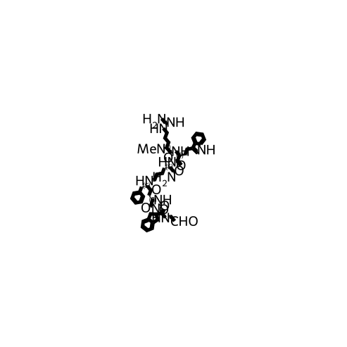 CN[C@@H](CCCNC(=N)N)C(=O)N[C@@H](CCc1c[nH]c2ccccc12)C(=O)N[C@@H](CCCCN[C@@H](Cc1ccccc1)C(=O)C[C@@H]1NC(=O)N(C2(C(=O)NCC=O)Cc3ccccc3C2)C1=O)C(N)=O